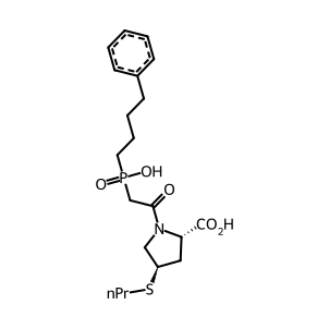 CCCS[C@@H]1C[C@@H](C(=O)O)N(C(=O)CP(=O)(O)CCCCc2ccccc2)C1